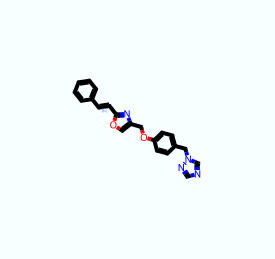 C(=C\c1nc(COc2ccc(Cn3cncn3)cc2)co1)/c1ccccc1